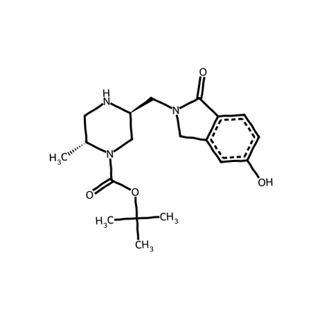 C[C@@H]1CN[C@@H](CN2Cc3cc(O)ccc3C2=O)CN1C(=O)OC(C)(C)C